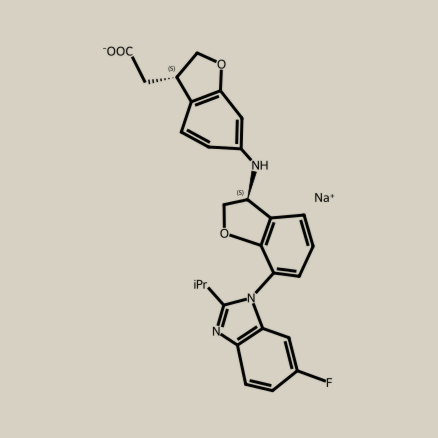 CC(C)c1nc2ccc(F)cc2n1-c1cccc2c1OC[C@H]2Nc1ccc2c(c1)OC[C@H]2CC(=O)[O-].[Na+]